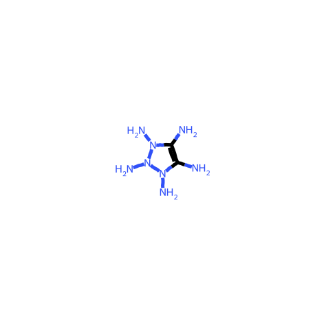 NC1=C(N)N(N)N(N)N1N